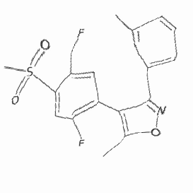 Cc1cccc(-c2noc(C)c2-c2cc(F)c(S(C)(=O)=O)cc2F)c1